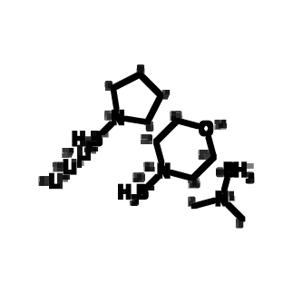 [BH3-]N(C)C.[BH3-]N1CCCC1.[BH3-]N1CCOCC1.[Li+].[Li+].[Li+]